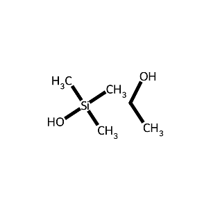 CCO.C[Si](C)(C)O